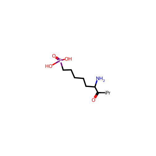 CC(C)C(=O)C(N)CCCCCP(=O)(O)O